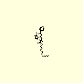 CCC(CC(CC(C)(C)C(=O)OCCOCCOC)n1ccnc1)c1ccncc1